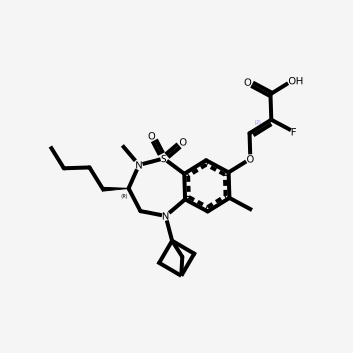 CCCC[C@@H]1CN(C23CC(C2)C3)c2cc(C)c(O/C=C(\F)C(=O)O)cc2S(=O)(=O)N1C